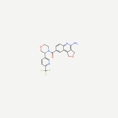 Nc1nc2ccc(C(=O)N3CCOCC3c3ccc(C(F)(F)F)nc3)cc2c2c1COC2